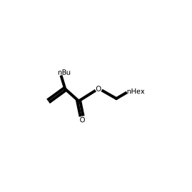 C=C(CCCC)C(=O)OCCCCCCC